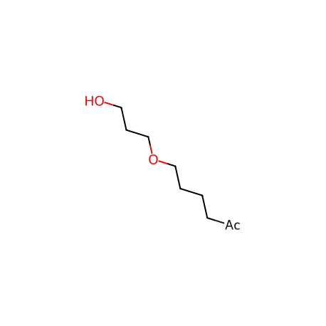 CC(=O)CCCCOCCCO